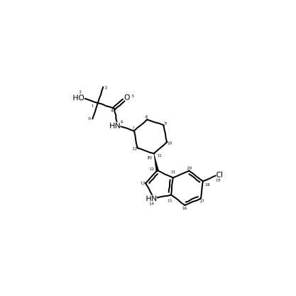 CC(C)(O)C(=O)NC1CCC[C@@H](c2c[nH]c3ccc(Cl)cc23)C1